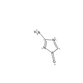 NC1=NC(=O)C=[N+]1